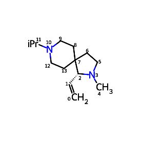 C=C[C@H]1N(C)CCC12CCN(C(C)C)CC2